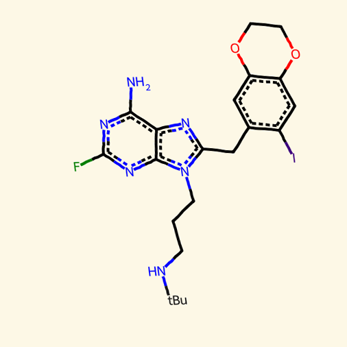 CC(C)(C)NCCCn1c(Cc2cc3c(cc2I)OCCO3)nc2c(N)nc(F)nc21